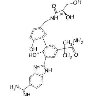 CC(C)(C(N)=O)c1cc(-c2nc3cc(C(=N)N)ccc3[nH]2)c(O)c(-c2cc(CNC(=O)[C@H](O)CO)ccc2O)c1